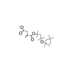 C=C(CC(=O)OC)C(=O)OC(C)(C)CC(C)(C)OC1(C)CCC(C)(C)C1